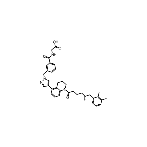 Cc1cccc(CNCCCC(=O)N2CCCc3c(-c4cnn(Cc5cccc(C(=O)NCC(=O)O)c5)c4)cccc32)c1C